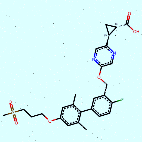 Cc1cc(OCCCS(C)(=O)=O)cc(C)c1-c1ccc(F)c(COc2cnc([C@H]3C[C@@H]3C(=O)O)cn2)c1